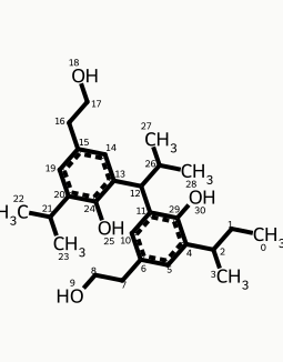 CCC(C)c1cc(CCO)cc(C(c2cc(CCO)cc(C(C)C)c2O)C(C)C)c1O